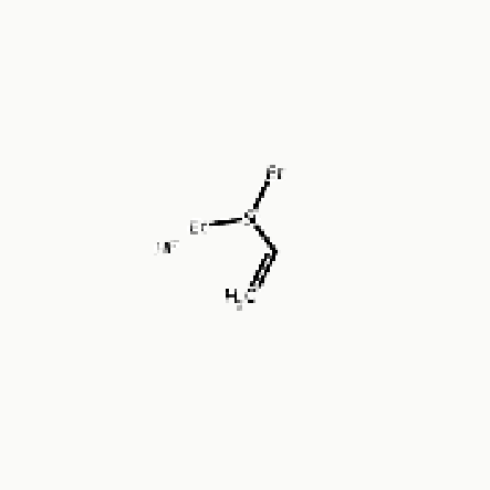 C=C[Si](CC)CC.F